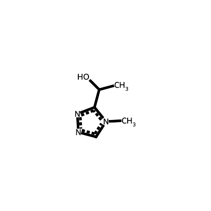 CC(O)c1nncn1C